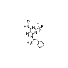 CC(Cc1ccccc1)n1cnc2c(NC3CC3)nc(C(F)(F)F)nc21